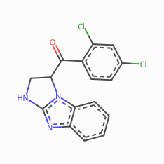 O=C(c1ccc(Cl)cc1Cl)C1CNc2nc3ccccc3n21